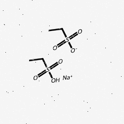 CCS(=O)(=O)O.CCS(=O)(=O)[O-].[Na+]